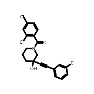 O=C(c1ccc(Cl)cc1Cl)N1CCCC(O)(C#Cc2cccc(Cl)c2)C1